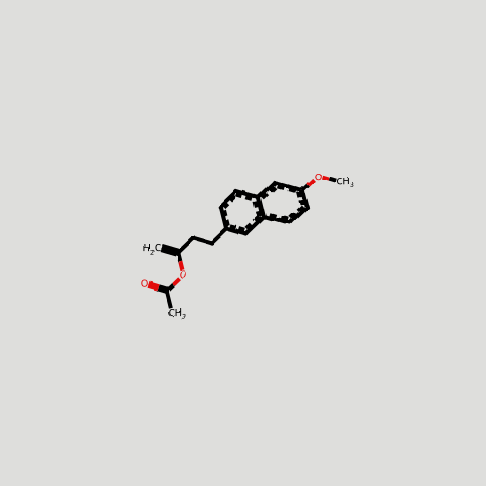 C=C(CCc1ccc2cc(OC)ccc2c1)OC(C)=O